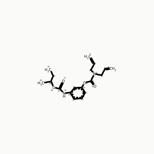 C=CCN(CC=C)C(=O)Oc1cccc(NC(=O)OC(C)CC)c1